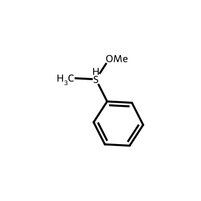 CO[SH](C)c1ccccc1